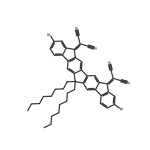 CCCCCCCCC1(CCCCCCCC)c2cc3c(cc2-c2cc4c(cc21)-c1ccc(Br)cc1C4=C(C#N)C#N)C(=C(C#N)C#N)c1cc(Br)ccc1-3